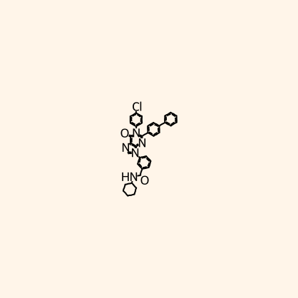 O=C(NC1CCCCC1)c1cccc(-n2cnc3c(=O)n(-c4ccc(Cl)cc4)c(-c4ccc(-c5ccccc5)cc4)nc32)c1